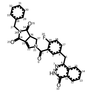 O=C(c1cc(Cc2n[nH]c(=O)c3ccccc23)ccc1F)N1C=C2C(=O)N(Cc3ccccc3)C(=O)C2C1